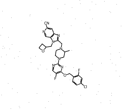 CC1CN(c2ncc(F)c(OCc3ccc(Cl)cc3F)n2)CCN1Cc1nc2cc(C#N)ncc2n1CC1CCO1